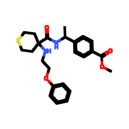 COC(=O)c1ccc(C(C)NC(=O)C2(NCCOc3ccccc3)CCSCC2)cc1